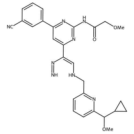 COCC(=O)Nc1nc(/C(=C/NCc2cccc(C(OC)C3CC3)n2)N=N)cc(-c2cccc(C#N)c2)n1